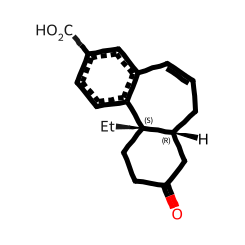 CC[C@]12CCC(=O)C[C@H]1CC=Cc1cc(C(=O)O)ccc12